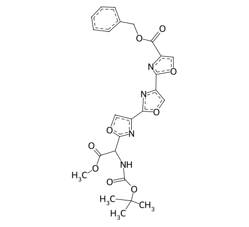 COC(=O)C(NC(=O)OC(C)(C)C)c1nc(-c2nc(-c3nc(C(=O)OCc4ccccc4)co3)co2)co1